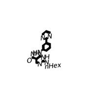 CCCCCCNc1ncc(C(N)=O)c(Nc2cccc(-c3ncccn3)c2)n1